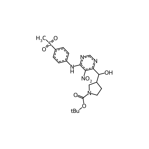 CC(C)(C)OC(=O)N1CCC(C(O)c2ncnc(Nc3ccc(S(C)(=O)=O)cc3)c2[N+](=O)[O-])C1